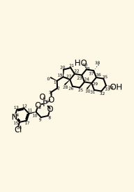 C[C@H](CCO[P@@]1(=O)OCC[C@@H](c2ccnc(Cl)c2)O1)[C@H]1CCC2C3C(CC[C@@]21C)[C@@]1(C)CC[C@@H](O)CC1[C@@H](C)[C@H]3O